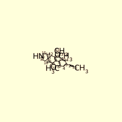 CC#Cc1cc(C)c(C2=C(OC)CC3(CCNCC3)CC2=O)c(C)c1